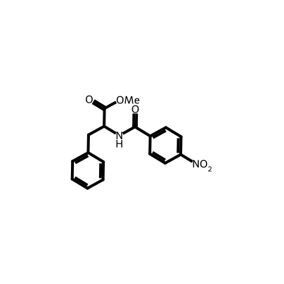 COC(=O)C(Cc1ccccc1)NC(=O)c1ccc([N+](=O)[O-])cc1